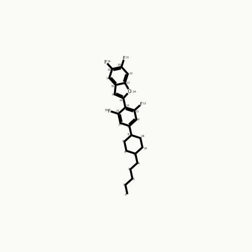 CCCCCC1CCC(c2cc(F)c(-c3cc4cc(F)c(F)cc4o3)c(F)c2)CC1